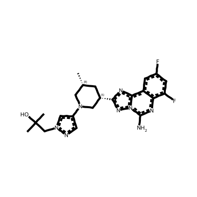 C[C@@H]1C[C@H](c2nc3c4cc(F)cc(F)c4nc(N)n3n2)CN(c2cnn(CC(C)(C)O)c2)C1